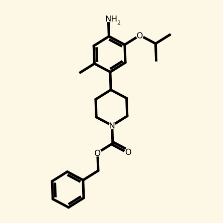 Cc1cc(N)c(OC(C)C)cc1C1CCN(C(=O)OCc2ccccc2)CC1